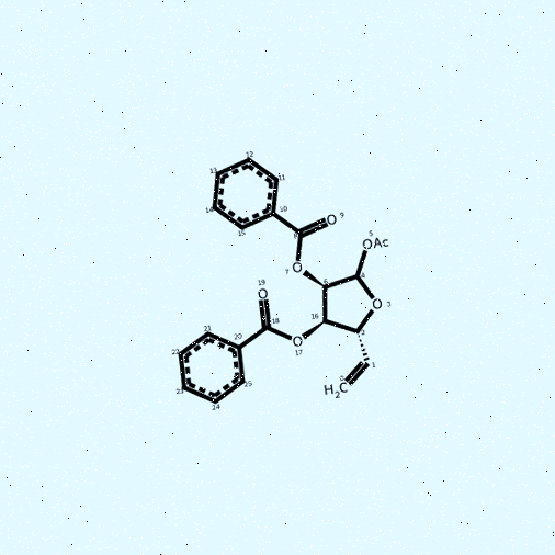 C=C[C@H]1OC(OC(C)=O)[C@H](OC(=O)c2ccccc2)[C@@H]1OC(=O)c1ccccc1